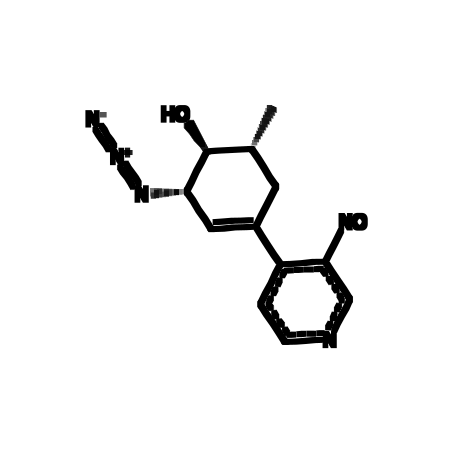 C[C@@H]1CC(c2ccncc2N=O)=C[C@H](N=[N+]=[N-])[C@H]1O